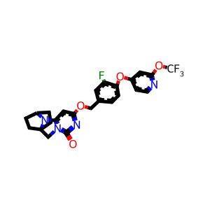 O=c1nc(OCc2ccc(Oc3ccnc(OC(F)(F)F)c3)c(F)c2)cc2n1CC13CCC(CC1)N23